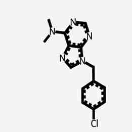 CN(C)c1ncnc2c1ncn2Cc1ccc(Cl)cc1